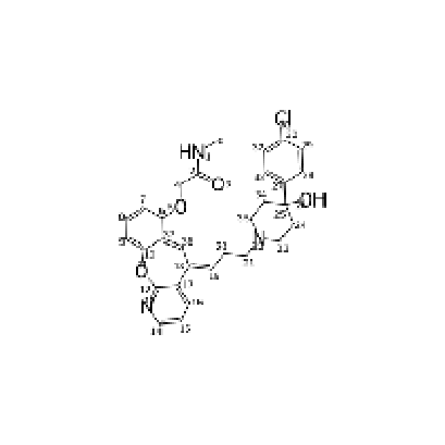 CNC(=O)COC1C=CC=C2Oc3ncccc3C(=CCCN3CCC(O)(c4ccc(Cl)cc4)CC3)C=C21